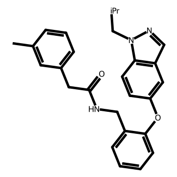 Cc1cccc(CC(=O)NCc2ccccc2Oc2ccc3c(cnn3CC(C)C)c2)c1